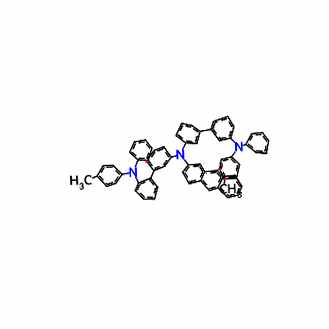 Cc1ccc(N(c2ccccc2)c2cccc(-c3cccc(N(c4cccc(-c5ccccc5N(c5ccccc5)c5ccc(C)cc5)c4)c4ccc5cc6ccccc6cc5c4)c3)c2)cc1